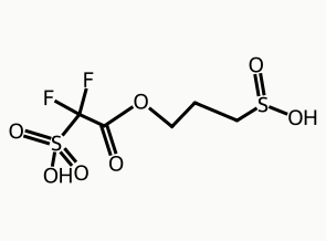 O=C(OCCCS(=O)O)C(F)(F)S(=O)(=O)O